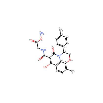 N#Cc1ccc2c(O)c(C(=O)NCC(=O)ON)c(=O)n3c2c1OCC3c1ccc(C(F)(F)F)cc1